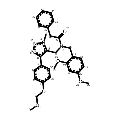 COCOc1ccc(-c2nnn(C)c2CN(Cc2ccc(OC)cc2OC)C(=O)Cc2ccccc2)cc1